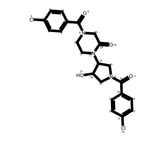 O=C(c1ccc(Cl)cc1)N1CCN(C2CN(C(=O)c3ccc(Cl)cc3)CC2O)C(=O)C1